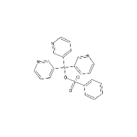 O=S(=O)(OS(c1cccnc1)(c1cccnc1)c1cccnc1)c1ccccc1